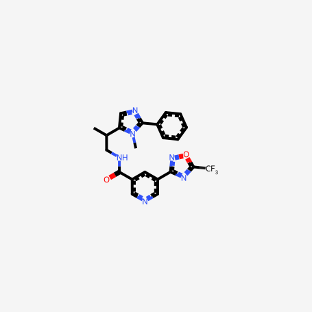 CC(CNC(=O)c1cncc(-c2noc(C(F)(F)F)n2)c1)c1cnc(-c2ccccc2)n1C